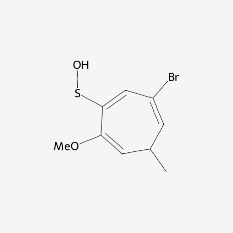 COC1=CC(C)C=C(Br)C=C1SO